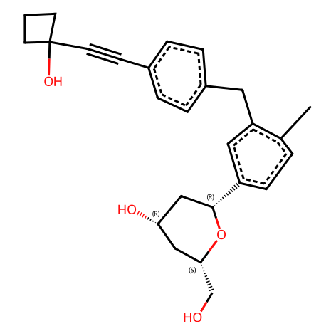 Cc1ccc([C@H]2C[C@@H](O)C[C@@H](CO)O2)cc1Cc1ccc(C#CC2(O)CCC2)cc1